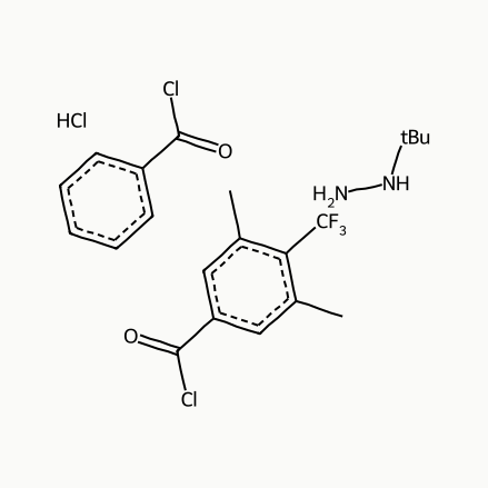 CC(C)(C)NN.Cc1cc(C(=O)Cl)cc(C)c1C(F)(F)F.Cl.O=C(Cl)c1ccccc1